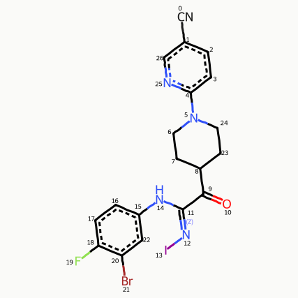 N#Cc1ccc(N2CCC(C(=O)/C(=N/I)Nc3ccc(F)c(Br)c3)CC2)nc1